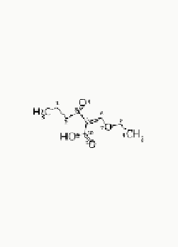 CCCC(=O)/C(=C/OCC)C(=O)O